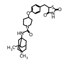 C[C@]12CC3CC(NC(=O)N4CCC(Oc5ccc(CC6SC(=O)NC6=O)cc5)CC4)(C1)C[C@@](C)(C3)C2